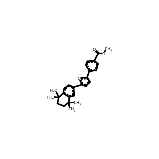 COC(=O)c1ccc(-c2ccc(-c3ccc4c(c3)C(C)(C)CCC4(C)C)o2)cc1